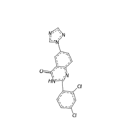 O=c1[nH]c(-c2ccc(Cl)cc2Cl)nc2ccc(-n3cncn3)cc12